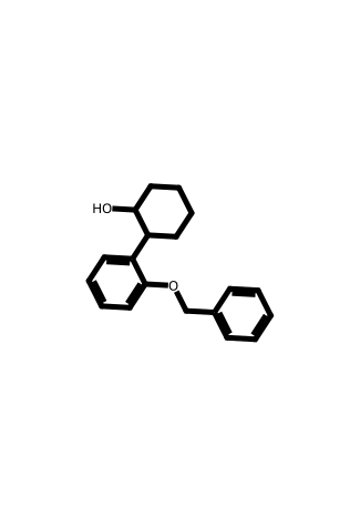 OC1CCCCC1c1ccccc1OCc1ccccc1